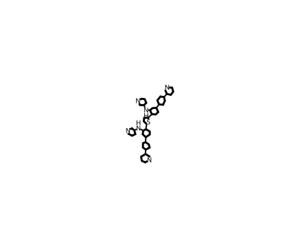 c1cncc(Nc2cc(-c3ccc(-c4cccnc4)cc3)ccc2-c2ccc(-c3ccc(-c4ccc(-c5cccnc5)cc4)cc3Nc3cccnc3)s2)c1